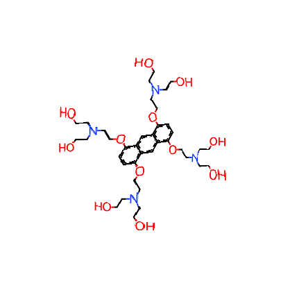 OCCN(CCO)CCOc1ccc(OCCN(CCO)CCO)c2cc3c(OCCN(CCO)CCO)ccc(OCCN(CCO)CCO)c3cc12